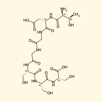 C[C@@H](O)[C@H](N)C(=O)N[C@@H](CC(=O)O)C(=O)NCC(=O)NCC(=O)N[C@@H](CO)C(=O)N[C@@H](CO)C(=O)N[C@@H](CO)C(=O)O